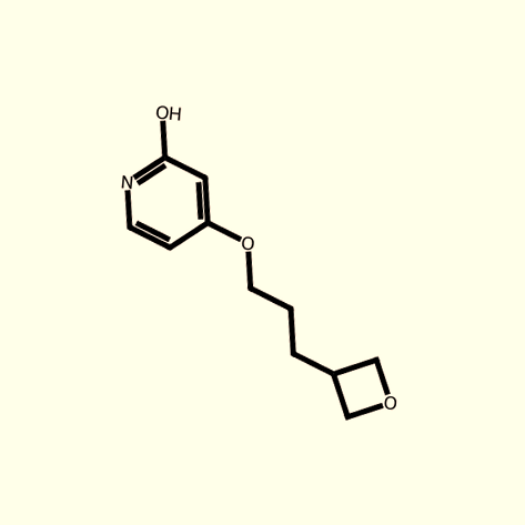 Oc1cc(OCCCC2COC2)ccn1